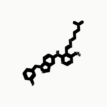 CN(C)CCCON=Cc1c(N)ncnc1Nc1ccc2c(cnn2Cc2cccc(F)c2)c1